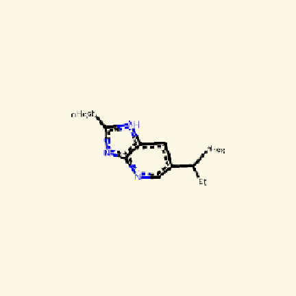 CCCCCCCc1nc2ncc(C(CC)CCCCCC)cc2[nH]1